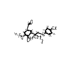 COc1cc(C=O)cc(C(C)CSc2ccc(Cl)cc2)c1O